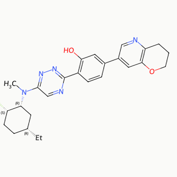 CC[C@@H]1CC[C@H](F)[C@H](N(C)c2cnc(-c3ccc(-c4cnc5c(c4)OCCC5)cc3O)nn2)C1